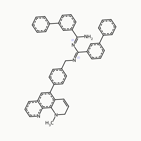 CN1CC=Cc2c(-c3ccc(C/N=C(\N=C(/N)c4cccc(-c5ccccc5)c4)c4cccc(-c5ccccc5)c4)cc3)cc3cccnc3c21